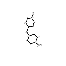 CCCN1CCN(CC2CCN(C)CC2)CC1